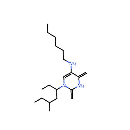 C=C1NC(=C)N(C(CC)CC(C)CC)C=C1NCCCCCC